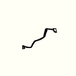 ClC=CCCBr